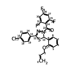 C=CCOc1ccccc1C1SC(c2ccc(Cl)cc2)=NN1C(=O)c1c(F)cc(F)cc1F